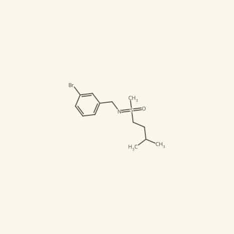 CC(C)CCS(C)(=O)=NCc1cccc(Br)c1